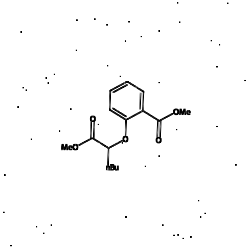 CCCCC(Oc1ccccc1C(=O)OC)C(=O)OC